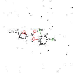 O=Cc1ccc(C(=O)Oc2ccc(F)cc2F)o1